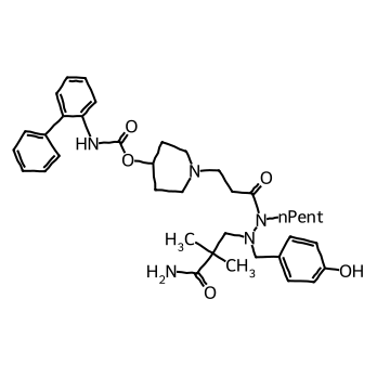 CCCCCN(C(=O)CCN1CCC(OC(=O)Nc2ccccc2-c2ccccc2)CC1)N(Cc1ccc(O)cc1)CC(C)(C)C(N)=O